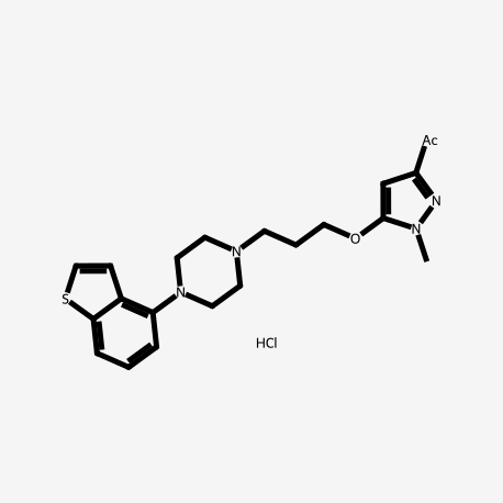 CC(=O)c1cc(OCCCN2CCN(c3cccc4sccc34)CC2)n(C)n1.Cl